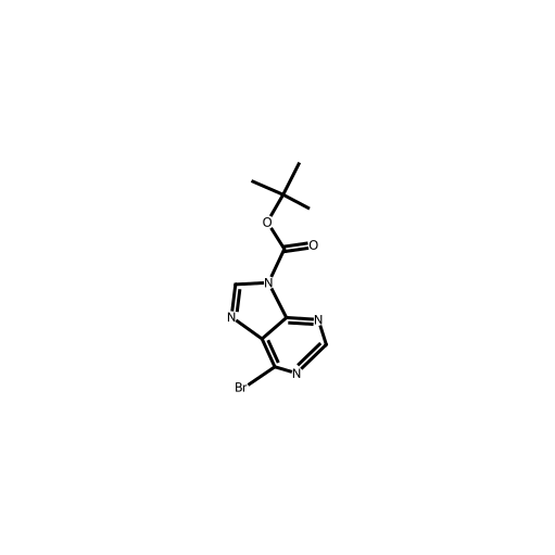 CC(C)(C)OC(=O)n1cnc2c(Br)ncnc21